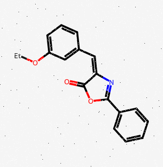 CCOc1cccc(C=C2N=C(c3ccccc3)OC2=O)c1